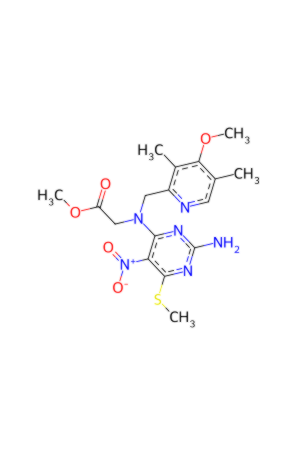 COC(=O)CN(Cc1ncc(C)c(OC)c1C)c1nc(N)nc(SC)c1[N+](=O)[O-]